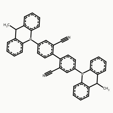 CC1c2ccccc2N(c2ccc(-c3ccc(N4c5ccccc5C(C)c5ccccc54)cc3C#N)c(C#N)c2)c2ccccc21